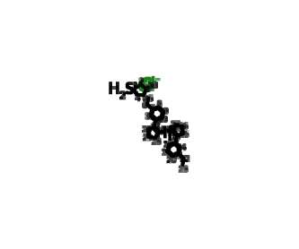 C1CC[SiH2]C1.CCc1cccc(C2=[C]([Hf+2][C]3=C(c4cccc(CC)c4)C=CC3)CC=C2)c1.[Cl-].[Cl-]